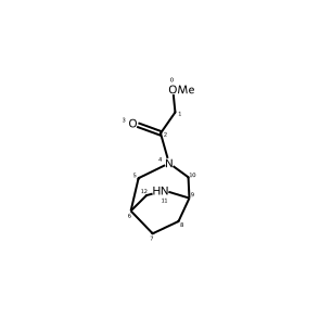 COCC(=O)N1CC2CCC(C1)NC2